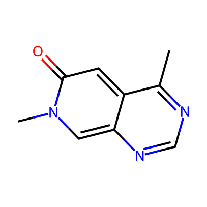 Cc1ncnc2cn(C)c(=O)cc12